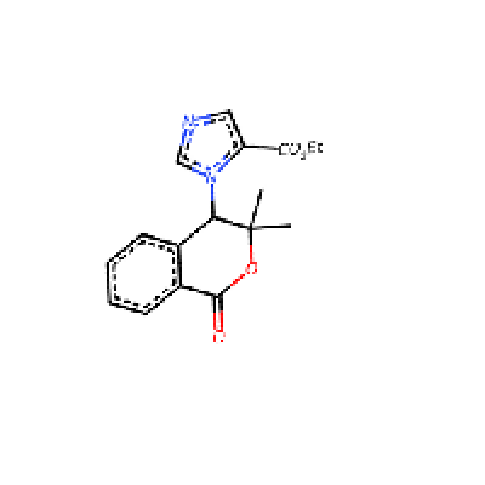 CCOC(=O)c1cncn1C1c2ccccc2C(=O)OC1(C)C